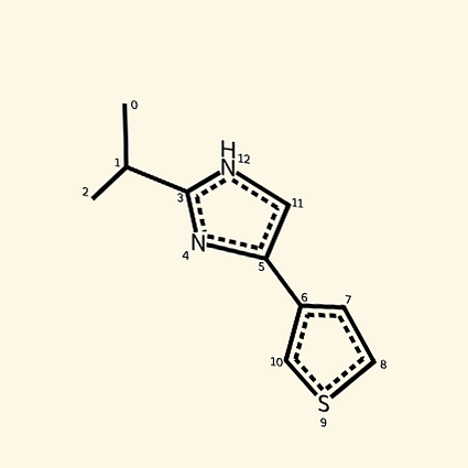 CC(C)c1nc(-c2ccsc2)c[nH]1